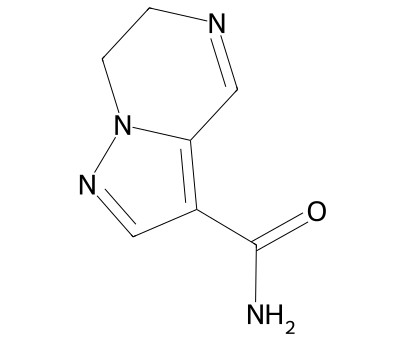 NC(=O)c1cnn2c1C=NCC2